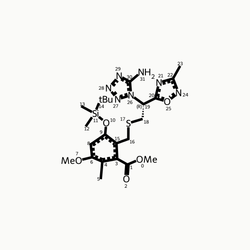 COC(=O)c1c(C)c(OC)cc(O[Si](C)(C)C(C)(C)C)c1CSC[C@@H](c1nc(C)no1)n1nnnc1N